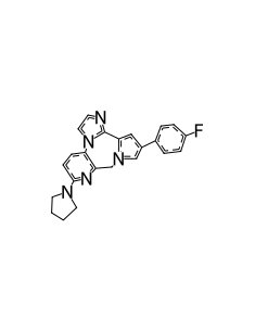 Fc1ccc(-c2cc3n(c2)Cc2nc(N4CCCC4)ccc2-n2ccnc2-3)cc1